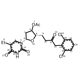 CCc1cn([C@@H]2CC(OC(C)=O)[C@H](CCC(=O)Cc3c(Cl)cccc3Cl)O2)c(=O)[nH]c1=O